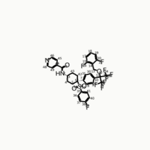 O=C(N[C@H]1CC[C@](c2ccc(C(OCc3c(F)cccc3F)(C(F)(F)F)C(F)(F)F)cc2)(S(=O)(=O)c2ccc(F)cc2)CC1)c1ccncc1